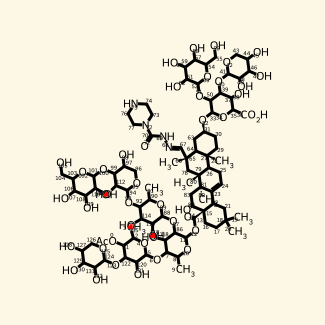 CC(=O)OC1C(C)OC(OC2C(C)OC(OC(=O)[C@]34CCC(C)(C)CC3C3=CCC5[C@@]6(C)CC[C@H](OC7OC(C(=O)O)C(O)C(OC8OCC(O)C(O)C8O)C7OC7OC(CO)C(O)C(O)C7O)CC6[C@@](C)(/C=N/NC(=O)N6CCNCC6)C[C@@]5(C)[C@]3(C)C[C@H]4O)C(OC3OC(C)C(OC4OCC(O)C(OC5OC(CO)C(O)C(O)C5O)C4O)C(O)C3O)C2O)C(O)C1OC1OCC(O)C(O)C1O